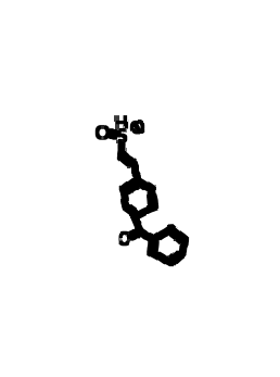 O=C(c1ccccc1)c1ccc(/C=C/[SH](=O)=O)cc1